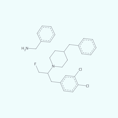 FCC(Cc1ccc(Cl)c(Cl)c1)N1CCC(Cc2ccccc2)CC1.NCc1ccccc1